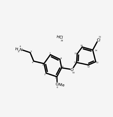 COc1cc(CCN)ccc1Oc1ccc(Cl)cc1.Cl